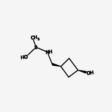 CB(O)NC[C@H]1C[C@@H](O)C1